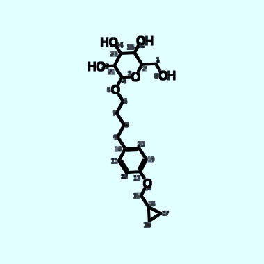 OCC1OC(OCCCCc2ccc(OCC3CC3)cc2)C(O)C(O)C1O